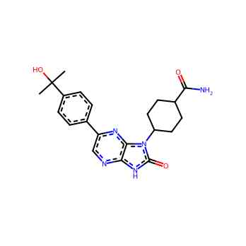 CC(C)(O)c1ccc(-c2cnc3[nH]c(=O)n(C4CCC(C(N)=O)CC4)c3n2)cc1